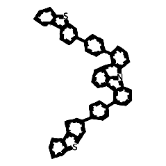 c1ccc2c(c1)sc1cc(-c3ccc(-c4cccc5c4c4cccc6c7c(-c8ccc(-c9ccc%10c(c9)sc9ccccc9%10)cc8)cccc7n5c46)cc3)ccc12